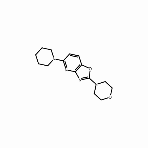 c1cc2oc(N3CCOCC3)nc2nc1N1CCCCC1